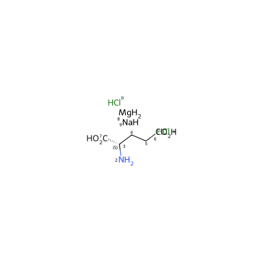 Cl.Cl.N[C@@H](CCC(=O)O)C(=O)O.[MgH2].[NaH]